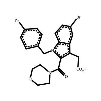 CC(C)c1ccc(Cn2c(C(=O)N3CCOCC3)c(CC(=O)O)c3cc(Br)ccc32)cc1